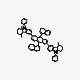 CC1CCCC2(C)C1c1cc(-c3ccc4c(-c5cccc6ccccc56)c5cc(-c6ccc7c(c6)C6C(C)CCCC6(C)N7c6ccccc6)ccc5c(-c5cccc6ccccc56)c4c3)ccc1N2c1ccccc1